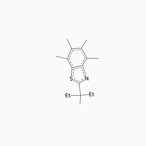 CCC(C)(CC)c1nc2c(C)c(C)c(C)c(C)c2s1